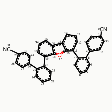 N#Cc1ccc(-c2ccccc2-c2cccc3c2oc2c(-c4ccccc4-c4ccc(C#N)cc4)cccc23)cc1